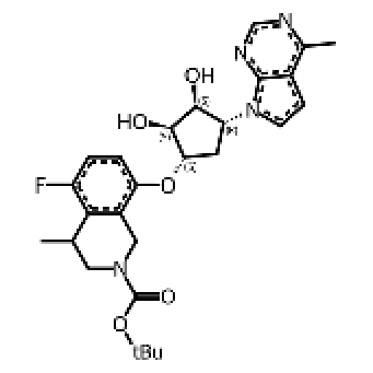 Cc1ncnc2c1ccn2[C@@H]1C[C@H](Oc2ccc(F)c3c2CN(C(=O)OC(C)(C)C)CC3C)[C@@H](O)[C@H]1O